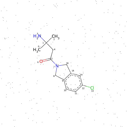 CC(C)(N)CC(=O)N1Cc2ccc(Cl)cc2C1